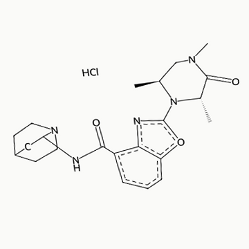 C[C@H]1CN(C)C(=O)[C@H](C)N1c1nc2c(C(=O)NC3CC4CCN3CC4)cccc2o1.Cl